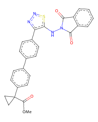 COC(=O)C1(c2ccc(-c3ccc(-c4nnsc4NN4C(=O)c5ccccc5C4=O)cc3)cc2)CC1